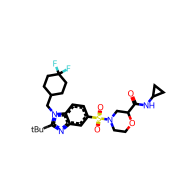 CC(C)(C)c1nc2cc(S(=O)(=O)N3CCOC(C(=O)NC4CC4)C3)ccc2n1CC1CCC(F)(F)CC1